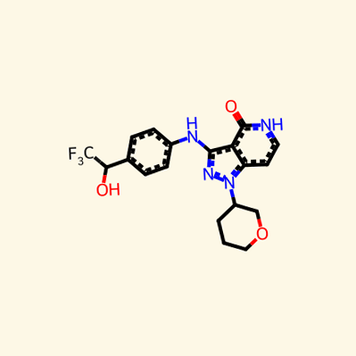 O=c1[nH]ccc2c1c(Nc1ccc(C(O)C(F)(F)F)cc1)nn2C1CCCOC1